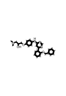 CN(C)CC(O)COc1ccc(Nc2cc(-c3ccccc3OCc3ccccc3)ncn2)cc1